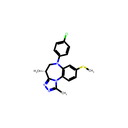 CSc1ccc2c(c1)N(c1ccc(Cl)cc1)C[C@@H](C)c1nnc(C)n1-2